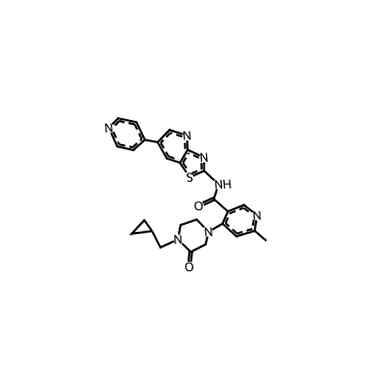 Cc1cc(N2CCN(CC3CC3)C(=O)C2)c(C(=O)Nc2nc3ncc(-c4ccncc4)cc3s2)cn1